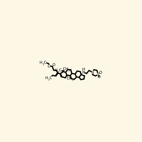 CC/C=C(\CCC(=O)OCC)C1=CC[C@]2(C)C3CCC4C(CC[C@@]5(NCCN6CCS(=O)(=O)CC6)CCCC45)C3CCC2C1(C)C